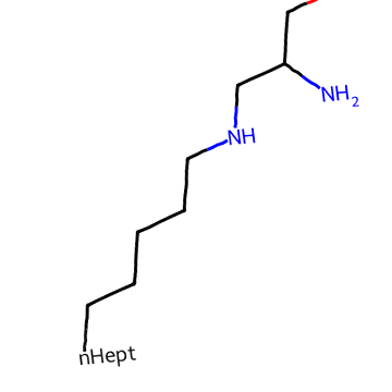 CCCCCCCCCCCCNCC(N)CO